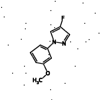 COc1cccc(-n2cc(F)cn2)c1